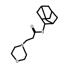 O=C(CCN1CCOCC1)OC1C2CC3CC(C2)CC1C3